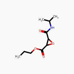 CCCOC(=O)C1OC1C(=O)NC(C)C